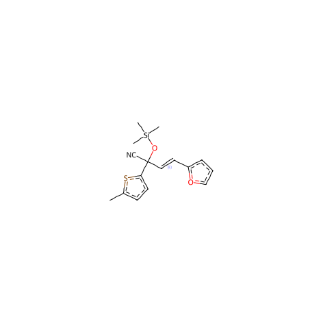 Cc1ccc(C(C#N)(/C=C/c2ccco2)O[Si](C)(C)C)s1